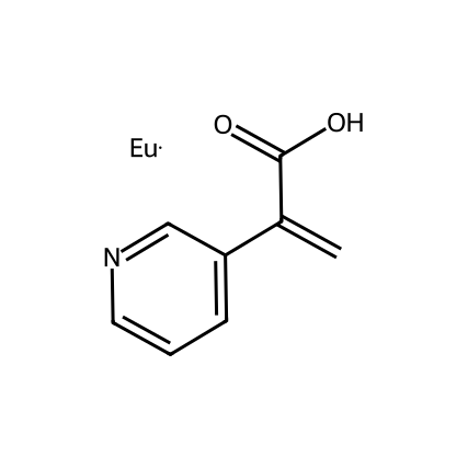 C=C(C(=O)O)c1cccnc1.[Eu]